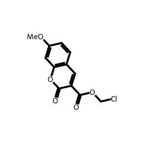 COc1ccc2cc(C(=O)OCCl)c(=O)oc2c1